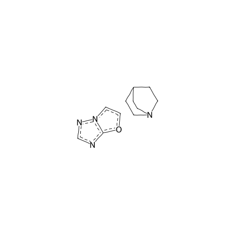 C1CN2CCC1CC2.c1nc2occn2n1